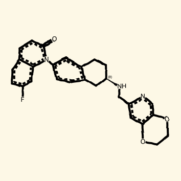 O=c1ccc2ccc(F)cc2n1-c1ccc2c(c1)CC[C@@H](NCc1cc3c(cn1)OCCO3)C2